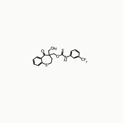 O=C1c2ccccc2SCCC1(CO)COC(=S)Nc1cccc(C(F)(F)F)c1